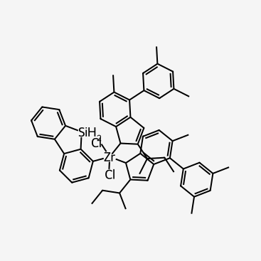 CCC(C)C1=Cc2c(ccc(C)c2-c2cc(C)cc(C)c2)[CH]1[Zr]([Cl])([Cl])([c]1cccc2c1[SiH2]c1ccccc1-2)[CH]1C(C(C)CC)=Cc2c1ccc(C)c2-c1cc(C)cc(C)c1